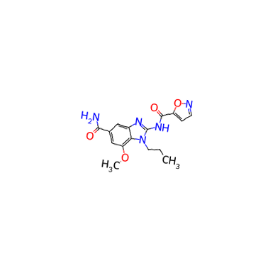 CCCn1c(NC(=O)c2ccno2)nc2cc(C(N)=O)cc(OC)c21